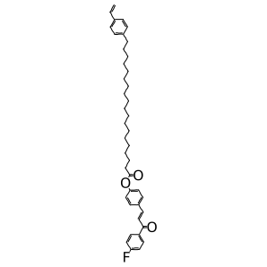 C=Cc1ccc(CCCCCCCCCCCCCCCCCCC(=O)Oc2ccc(C=CC(=O)c3ccc(F)cc3)cc2)cc1